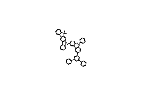 CC1(C)c2ccccc2-c2cc3c4ccccc4n(-c4ccc5c(c4)c4cc(-c6cc(-c7ccccc7)cc(-c7ccccc7)c6)ccc4n5-c4ccccc4)c3cc21